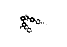 CN1CCN(c2ccc(-c3cnc4cccc(-c5cc(F)c(CN6CCOCC6)c(F)c5)c4n3)cc2)CC1